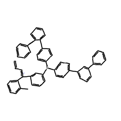 C=C/C=C(/c1cccc(N(c2ccc(-c3cccc(-c4ccccc4)c3)cc2)c2ccc(-c3ccccc3-c3ccccc3)cc2)c1)c1ccccc1C